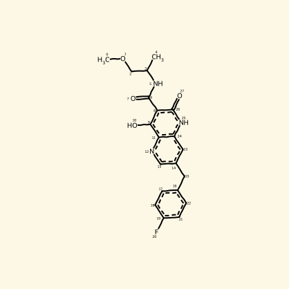 COCC(C)NC(=O)c1c(O)c2ncc(Cc3ccc(F)cc3)cc2[nH]c1=O